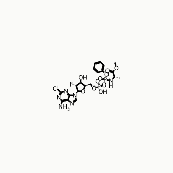 COC(=O)[C@H](C)NP(=O)(Oc1ccccc1)OP(=O)(O)OC[C@H]1O[C@@H](n2cnc3c(N)nc(Cl)nc32)[C@H](F)C1O